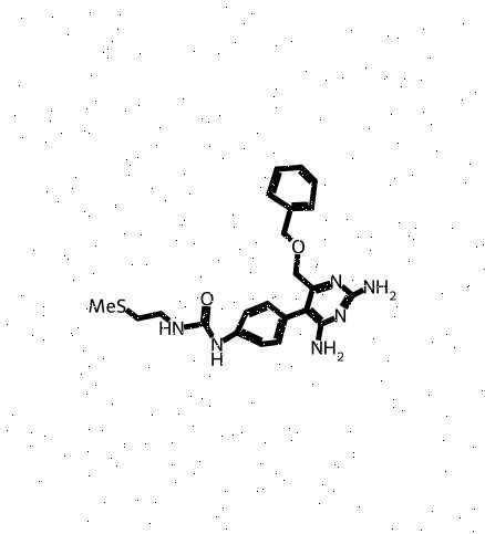 CSCCNC(=O)Nc1ccc(-c2c(N)nc(N)nc2COCc2ccccc2)cc1